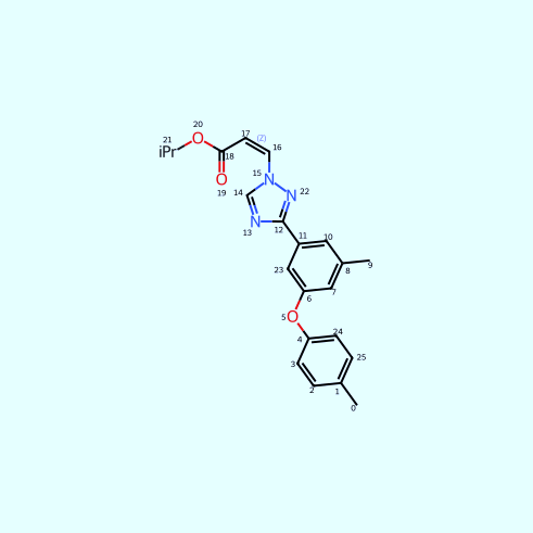 Cc1ccc(Oc2cc(C)cc(-c3ncn(/C=C\C(=O)OC(C)C)n3)c2)cc1